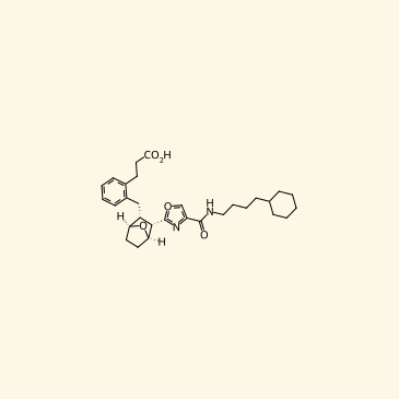 O=C(O)CCc1ccccc1C[C@@H]1[C@H](c2nc(C(=O)NCCCCC3CCCCC3)co2)[C@H]2CC[C@@H]1O2